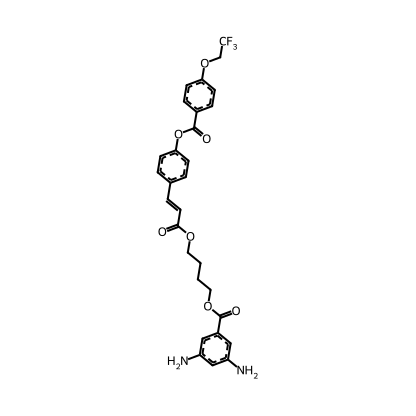 Nc1cc(N)cc(C(=O)OCCCCOC(=O)C=Cc2ccc(OC(=O)c3ccc(OCC(F)(F)F)cc3)cc2)c1